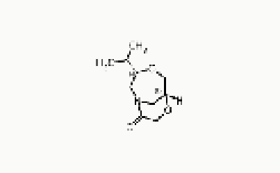 CC(C)[C@H]1CN2C[C@H](CO1)OCC2=O